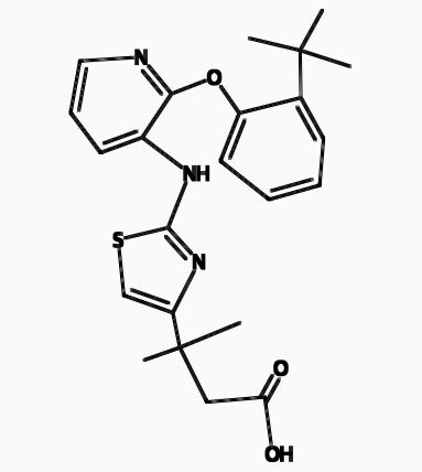 CC(C)(C)c1ccccc1Oc1ncccc1Nc1nc(C(C)(C)CC(=O)O)cs1